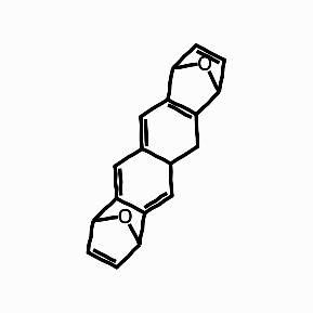 C1=CC2OC1C1=CC3=CC4=C(CC3C=C12)C1C=CC4O1